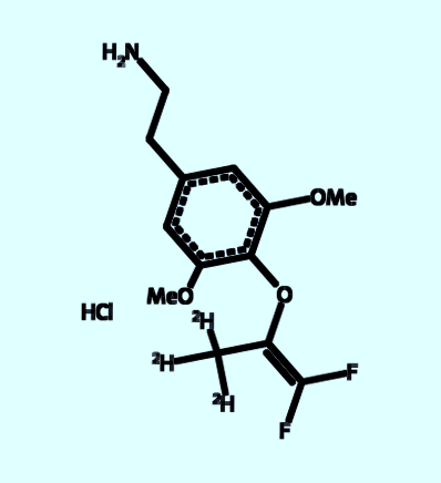 Cl.[2H]C([2H])([2H])C(Oc1c(OC)cc(CCN)cc1OC)=C(F)F